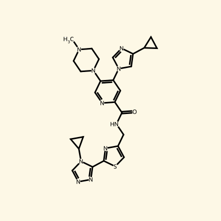 CN1CCN(c2cnc(C(=O)NCc3csc(-c4nncn4C4CC4)n3)cc2-n2cnc(C3CC3)c2)CC1